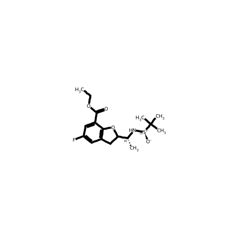 CCOC(=O)c1cc(F)cc2c1OC([C@@H](C)N[S@+]([O-])C(C)(C)C)C2